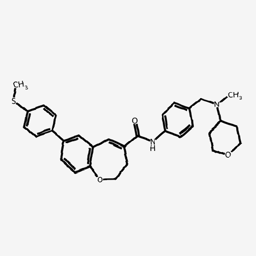 CSc1ccc(-c2ccc3c(c2)C=C(C(=O)Nc2ccc(CN(C)C4CCOCC4)cc2)CCO3)cc1